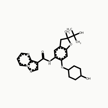 CC(C)(O)C1(C)Cc2cc(NC(=O)c3cnn4cccnc34)c(OC3CCC(O)CC3)cc2O1